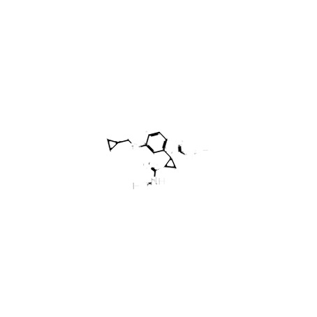 COC(=O)[C@]1(c2cccc(OCC3CC3)c2)C[C@H]1C(=O)NO